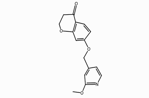 COc1cc(COc2ccc3c(c2)OCCC3=O)ccn1